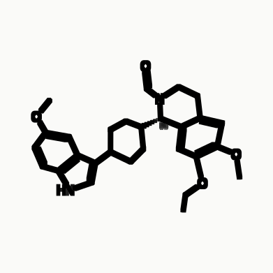 CCOc1cc2c(cc1OC)CCN(C=O)[C@H]2C1CCC(c2c[nH]c3ccc(OC)cc23)CC1